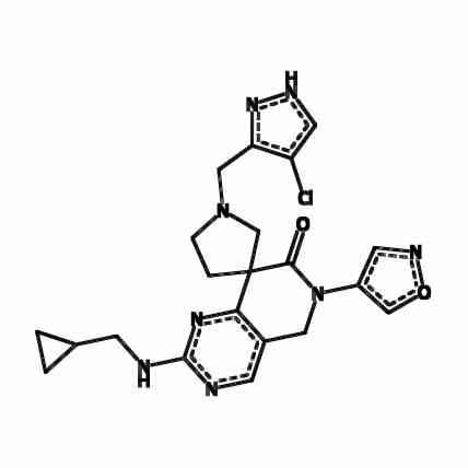 O=C1N(c2cnoc2)Cc2cnc(NCC3CC3)nc2C12CCN(Cc1n[nH]cc1Cl)C2